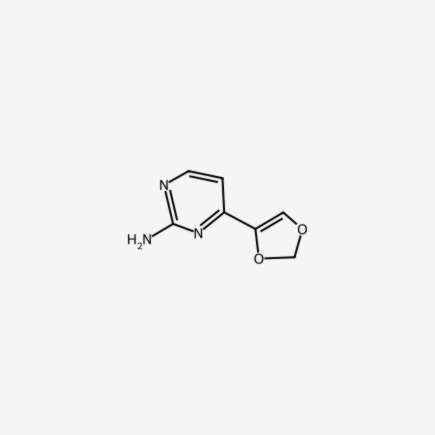 Nc1nccc(C2=COCO2)n1